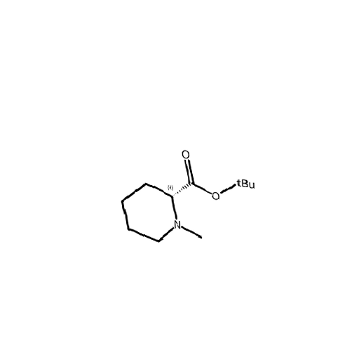 CN1CCCC[C@@H]1C(=O)OC(C)(C)C